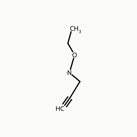 C#CC[N]OCC